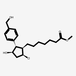 COC(=O)CCCCCC[C@@H]1[C@@H](c2ccc(CO)cc2)[C@H](O)C[C@@H]1Cl